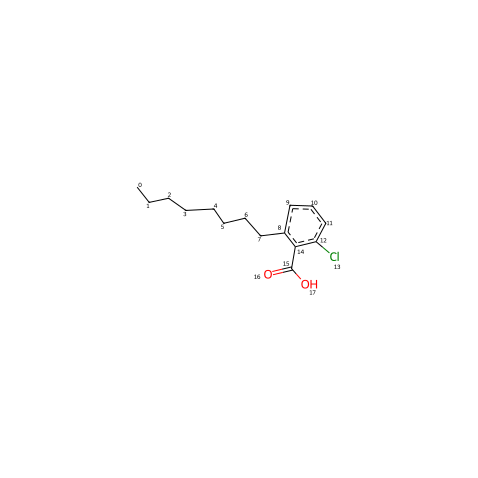 CCCCCCCCc1cccc(Cl)c1C(=O)O